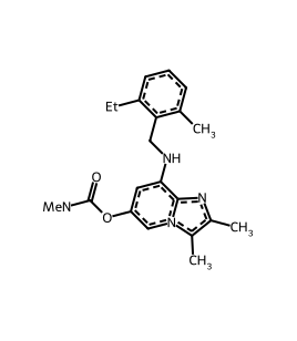 CCc1cccc(C)c1CNc1cc(OC(=O)NC)cn2c(C)c(C)nc12